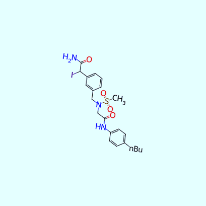 CCCCc1ccc(NC(=O)CN(Cc2cccc(C(I)C(N)=O)c2)S(C)(=O)=O)cc1